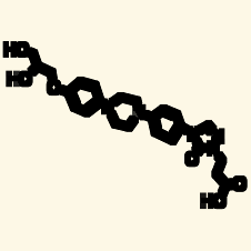 O=C(O)CCn1ncn(-c2ccc(N3CCN(c4ccc(OCC(O)CO)cc4)CC3)cc2)c1=O